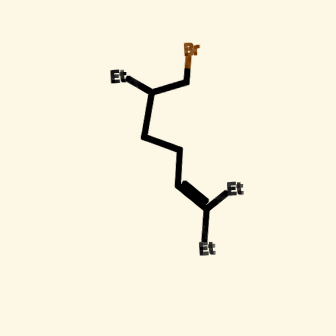 CCC(=CCCC(CC)CBr)CC